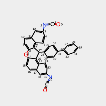 O=C=Nc1ccc2c3c(ccc2c1)Oc1ccc2cc(N=C=O)ccc2c1C3c1ccc(-c2ccccc2)cc1